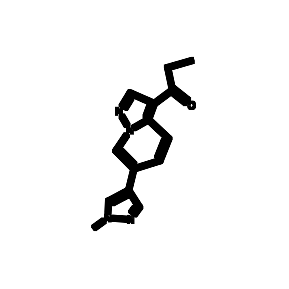 CCC(=O)c1cnn2cc(-c3cnn(C)c3)ccc12